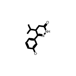 CC(C)C1CC(=O)NN=C1c1cccc([O])c1